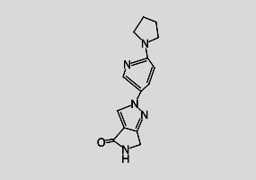 O=C1NCc2nn(-c3ccc(N4CCCC4)nc3)cc21